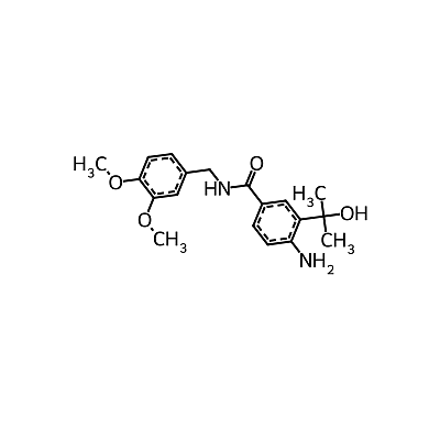 COc1ccc(CNC(=O)c2ccc(N)c(C(C)(C)O)c2)cc1OC